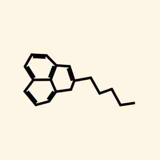 CCCCCC1=Cc2cccc3cccc(c23)C1